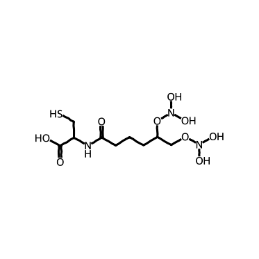 O=C(CCCC(CON(O)O)ON(O)O)NC(CS)C(=O)O